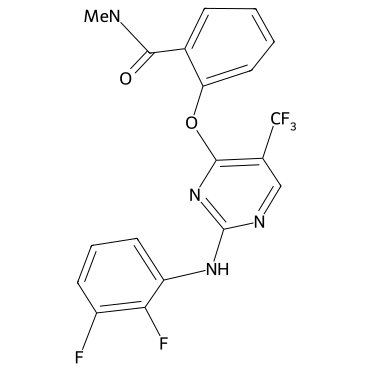 CNC(=O)c1ccccc1Oc1nc(Nc2cccc(F)c2F)ncc1C(F)(F)F